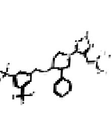 CN(C)Cc1n[nH]nc1N1CCC(OCc2cc(C(F)(F)F)cc(C(F)(F)F)c2)C(c2ccccc2)C1